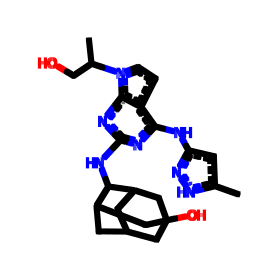 Cc1cc(Nc2nc(NC3C4CC5CC3CC(O)(C5)C4)nc3c2ccn3C(C)CO)n[nH]1